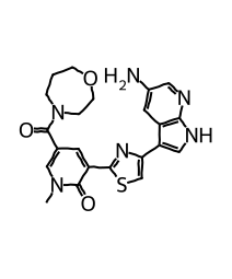 Cn1cc(C(=O)N2CCCOCC2)cc(-c2nc(-c3c[nH]c4ncc(N)cc34)cs2)c1=O